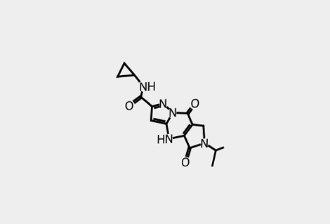 CC(C)N1Cc2c([nH]c3cc(C(=O)NC4CC4)nn3c2=O)C1=O